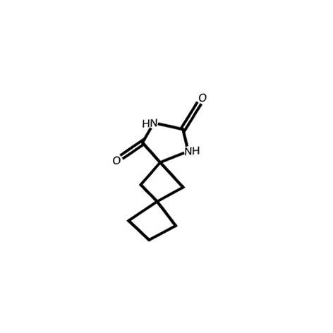 O=C1NC(=O)C2(CC3(CCC3)C2)N1